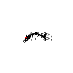 CC(=O)OCC(COC(C)=O)OC(=O)CCC(=O)Oc1ccc(COC(=O)O[C@H]2CC[C@H]3[C@@H]4CCC5=CC(=O)CC[C@]5(C)[C@H]4CC[C@]23C)cc1